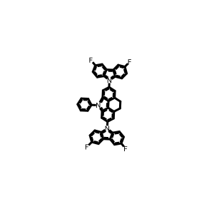 Fc1ccc2c(c1)c1cc(F)ccc1n2-c1cc2c3c4c(cc(-n5c6ccc(F)cc6c6cc(F)ccc65)cc4n(-c4ccccc4)c3c1)CC2